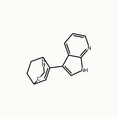 C1=C(c2c[nH]c3ncccc23)C2CCC1CCN2